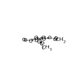 C=CC(=O)OCCCCCCOc1ccc(CCC(=O)Oc2ccc3c(c2)cc(Oc2ccc(OCCCCCC)cc2)c2cc(OC(=O)CCc4ccc(OCCCCCCOC=O)cc4)ccc23)cc1